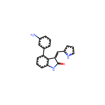 Nc1cccc(-c2cccc3c2/C(=C/c2ccc[nH]2)C(=O)N3)c1